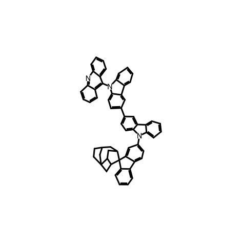 c1ccc2c(c1)-c1ccc(-n3c4ccccc4c4cc(-c5ccc6c(c5)c5ccccc5n6-c5c6ccccc6nc6ccccc56)ccc43)cc1C21C2CC3CCC4(C3)CC1C4C2